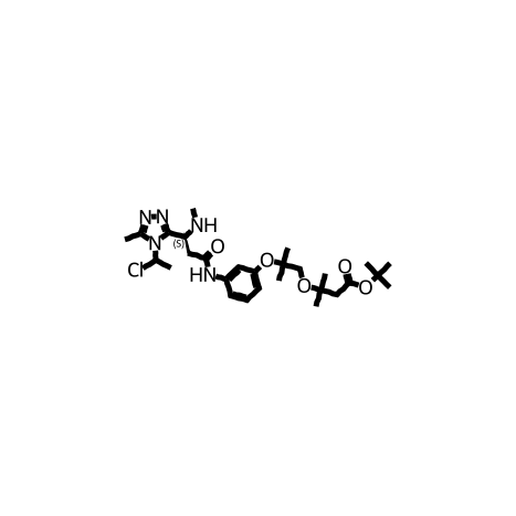 CN[C@@H](CC(=O)Nc1cccc(OC(C)(C)COC(C)(C)CC(=O)OC(C)(C)C)c1)c1nnc(C)n1C(C)Cl